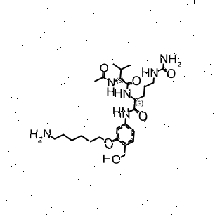 CC(=O)N[C@H](C(=O)N[C@@H](CCCNC(N)=O)C(=O)Nc1ccc(CO)c(OCCCCCCN)c1)C(C)C